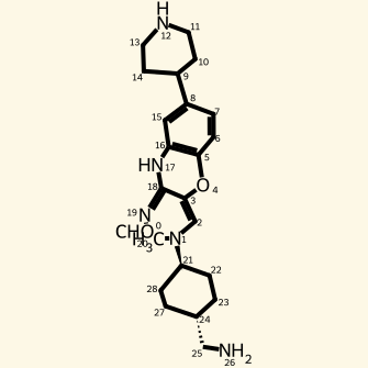 CN(/C=C1/Oc2ccc(C3CCNCC3)cc2N/C1=N/C=O)[C@H]1CC[C@H](CN)CC1